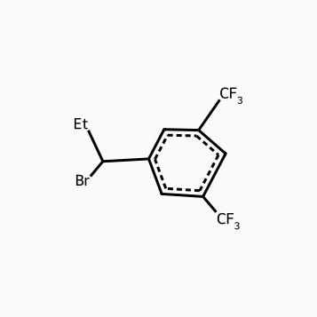 CCC(Br)c1cc(C(F)(F)F)cc(C(F)(F)F)c1